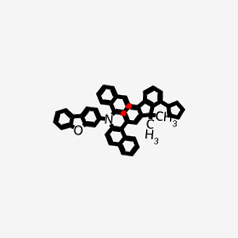 CC1(C)c2cc(-c3c(N(c4ccc5c(c4)oc4ccccc45)c4cccc5ccccc45)ccc4ccccc34)ccc2-c2cccc(C3CCCC3)c21